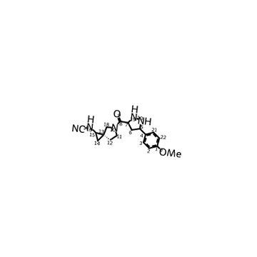 COc1ccc(C2CC(C(=O)N3CC[C@@]4(CC4NC#N)C3)NN2)cc1